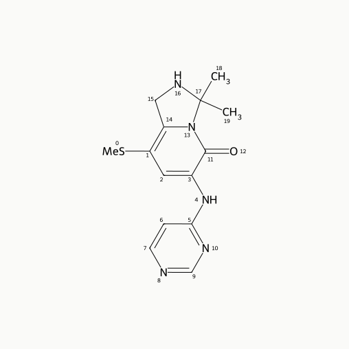 CSc1cc(Nc2ccncn2)c(=O)n2c1CNC2(C)C